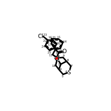 O=C(OC1C2CSCC1CN(Cc1ccccc1)C2)c1ccc(Cl)cc1